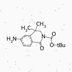 CC(C)(C)OC(=O)N1CC(C)(C)c2cc(N)ccc2C1=O